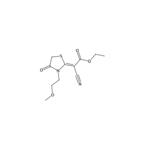 CCOC(=O)C(C#N)=C1SCC(=O)N1CCOC